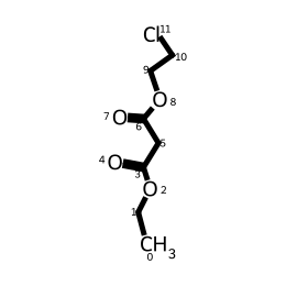 CCOC(=O)CC(=O)O[CH]CCl